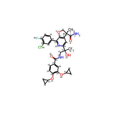 C[C@]1(C(N)=O)COc2c1cc(C(O)(CNC(=O)c1ccc(OC3CC3)c(OC3CC3)c1)C(F)(F)F)nc2-c1ccc(F)c(Cl)c1